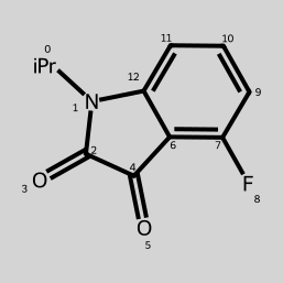 CC(C)N1C(=O)C(=O)c2c(F)cccc21